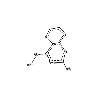 CCCCNc1nc(N)nc2cccnc12